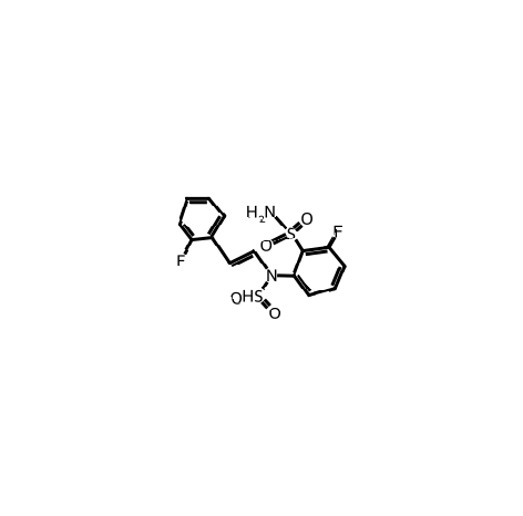 NS(=O)(=O)c1c(F)cccc1N(C=Cc1ccccc1F)[SH](=O)=O